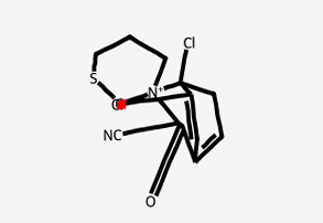 N#CC1C(=O)C2=CCC(Cl)(C(Cl)=C2)[N+]12CCCSO2